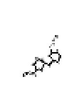 O=C=NC1CC[CH]C(CC2[CH]CCC(N=C=O)C2)C1